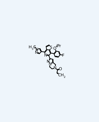 C=CC(=O)N1CCn2nc(-c3nc(-c4cnn(C)c4)c4ccsc4c3-c3ccc(F)cc3OC(C)C)cc2C1